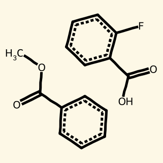 COC(=O)c1ccccc1.O=C(O)c1ccccc1F